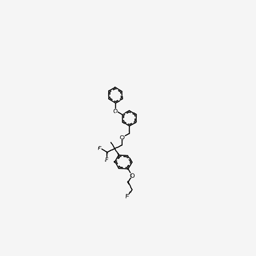 CC(COCc1cccc(Oc2ccccc2)c1)(c1ccc(OCCF)cc1)C(F)F